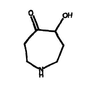 O=C1CCNCCC1O